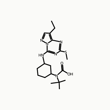 CCc1cnn2c(NC3CCCC(N(C(=O)O)C(C)(C)C)C3)nc(SC)nc12